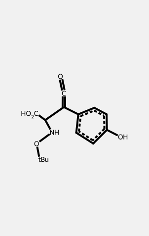 CC(C)(C)ONC(C(=O)O)C(=C=O)c1ccc(O)cc1